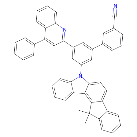 CC1(C)c2ccccc2-c2ccc3c(c21)c1ccccc1n3-c1cc(-c2cccc(C#N)c2)cc(-c2cc(-c3ccccc3)c3ccccc3n2)c1